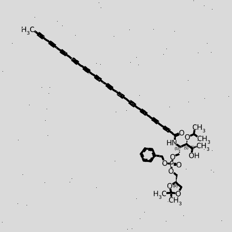 CC#CC#CC#CC#CC#CC#CC#CC#CC#CC#CC#CC#CC(=O)N[C@@H](COP(=O)(OCc1ccccc1)OC[C@H]1COC(C)(C)O1)[C@H](OC(C)C)[C@@H](C)O